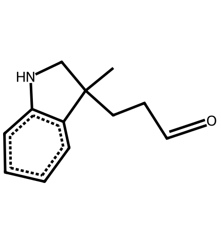 CC1(CCC=O)CNc2ccccc21